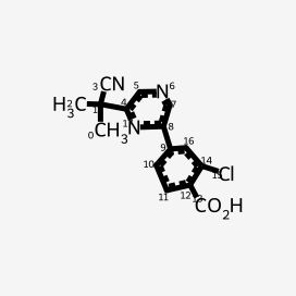 CC(C)(C#N)c1cncc(-c2ccc(C(=O)O)c(Cl)c2)n1